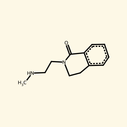 CNCCN1CCc2ccccc2C1=O